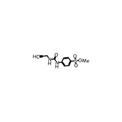 C#CCNC(=O)Nc1ccc(S(=O)(=O)OC)cc1